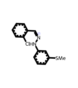 CSc1cccc(N/N=C\c2ccccc2Cl)c1